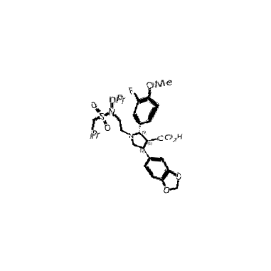 CCCN(CCN1C[C@H](c2ccc3c(c2)OCO3)[C@H](C(=O)O)[C@H]1c1ccc(OC)c(F)c1)S(=O)(=O)CC(C)C